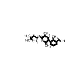 Cc1cc(-c2cccc(CO)c2C)c(C)nc1OCCC(C)(C)O